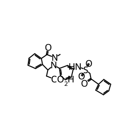 CN1C(=O)c2ccccc2C(CC(=O)O)N1c1cccc(NS(=O)(=O)CC(=O)c2ccccc2)c1